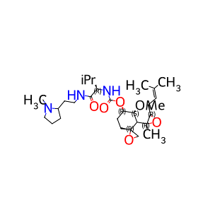 CO[C@H]1C([C@@]2(C)O[C@@H]2CC=C(C)C)[C@]2(CC[C@H]1OC(=O)N[C@@H](C(=O)NCCC1CCCN1C)C(C)C)CO2